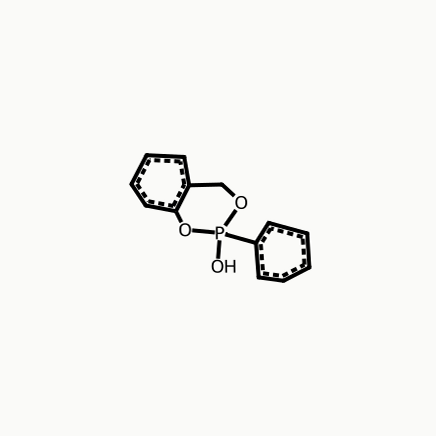 O[P]1(c2ccccc2)OCc2ccccc2O1